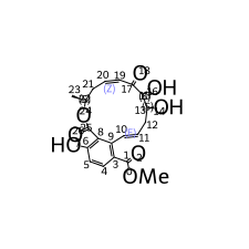 COC(=O)c1ccc(O)c2c1/C=C/C[C@H](O)[C@H](O)C(=O)/C=C\C[C@H](C)OC2=O